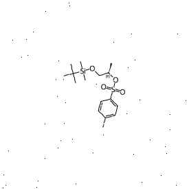 Cc1ccc(S(=O)(=O)O[C@H](C)CO[Si](C)(C)C(C)(C)C)cc1